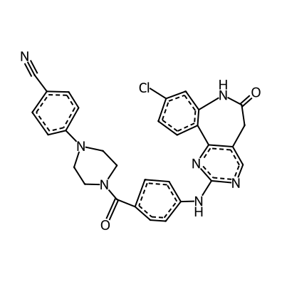 N#Cc1ccc(N2CCN(C(=O)c3ccc(Nc4ncc5c(n4)-c4ccc(Cl)cc4NC(=O)C5)cc3)CC2)cc1